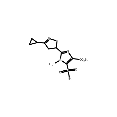 CCOC(=O)c1nc(C2CC(C3CC3)=NO2)n(C)c1S(=O)(=O)CC